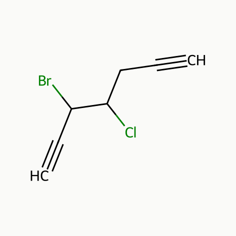 C#CCC(Cl)C(Br)C#C